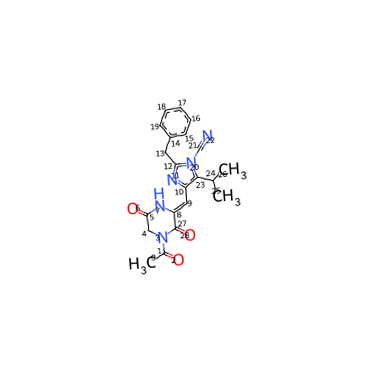 CC(=O)N1CC(=O)NC(=Cc2nc(Cc3ccccc3)n(C#N)c2C(C)C)C1=O